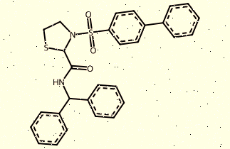 O=C(NC(c1ccccc1)c1ccccc1)C1SCCN1S(=O)(=O)c1ccc(-c2ccccc2)cc1